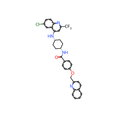 O=C(N[C@H]1CC[C@@H](Nc2cc(C(F)(F)F)nc3ccc(Cl)cc23)CC1)c1ccc(OCc2ccc3ccccc3n2)cc1